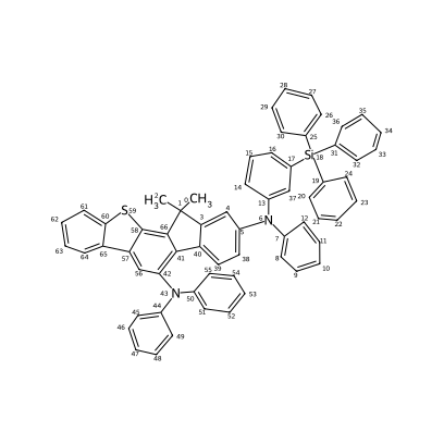 CC1(C)c2cc(N(c3ccccc3)c3cccc([Si](c4ccccc4)(c4ccccc4)c4ccccc4)c3)ccc2-c2c(N(c3ccccc3)c3ccccc3)cc3c(sc4ccccc43)c21